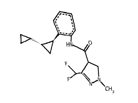 CN1CC(C(=O)Nc2ccccc2[C@H]2C[C@@H]2C2CC2)C(C(F)F)=N1